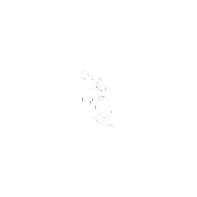 COc1nc(N)nc2ncn(CCC(CO)COC(=O)[C@@H](NC(=O)OCc3ccccc3)C(C)C)c12